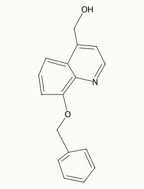 OCc1ccnc2c(OCc3ccccc3)cccc12